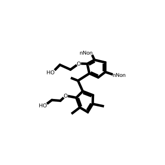 CCCCCCCCCc1cc(CCCCCCCCC)c(OCCO)c(C(C)c2cc(C)cc(C)c2OCCO)c1